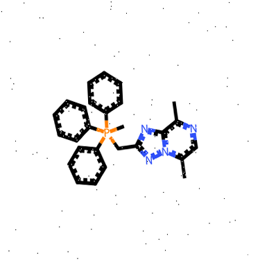 Cc1ncc(C)n2nc(CP(C)(c3ccccc3)(c3ccccc3)c3ccccc3)nc12